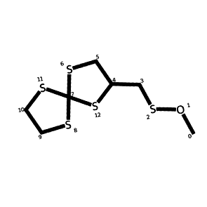 COSCC1CSC2(SCCS2)S1